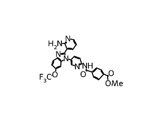 COC(=O)c1ccc(C(=O)Nc2ccc(-n3c(-c4cccnc4N)nc4ccc(OC(F)(F)F)cc43)cn2)cc1